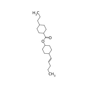 CCCC=CC1CCC(OC(=O)C2CCC(CCC)CC2)CC1